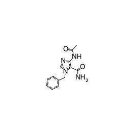 CC(=O)Nc1ncn(Cc2ccccc2)c1C(N)=O